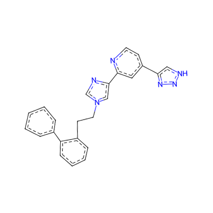 c1ccc(-c2ccccc2CCn2cnc(-c3cc(-c4c[nH]nn4)ccn3)c2)cc1